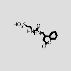 O=C(NCCS(=O)(=O)O)NCc1cc(=O)oc2ccccc12